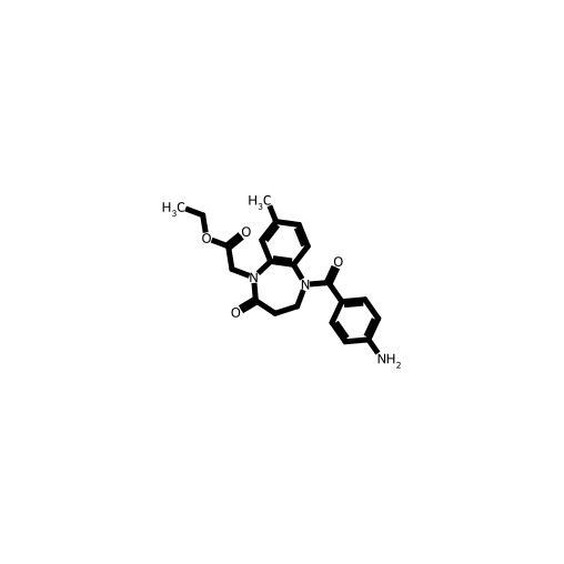 CCOC(=O)CN1C(=O)CCN(C(=O)c2ccc(N)cc2)c2ccc(C)cc21